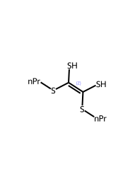 CCCS/C(S)=C(/S)SCCC